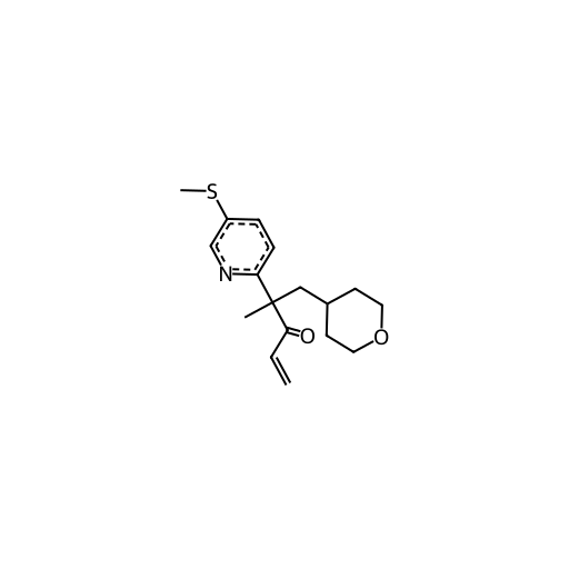 C=CC(=O)C(C)(CC1CCOCC1)c1ccc(SC)cn1